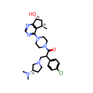 C[C@@H]1C[C@@H](O)c2ncnc(N3CCN(C(=O)C(CN4CC[C@H](N(C)C)C4)c4ccc(Cl)cc4)CC3)c21